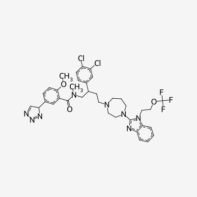 COc1ccc(C2C=NN=N2)cc1C(=O)N(C)CC(CCN1CCCN(c2nc3ccccc3n2CCOC(F)(F)F)CC1)c1ccc(Cl)c(Cl)c1